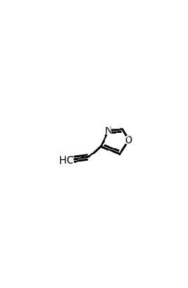 C#Cc1cocn1